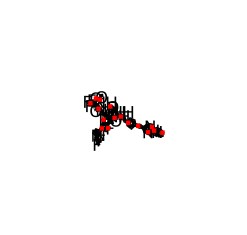 COC(=O)N[C@H](C(=O)NN(Cc1c(F)cc(-c2ccn(CC(F)F)n2)cc1F)C[C@@H](O)CNC(=O)[C@@H](NC(=O)OC)C(C)(C)C(F)(F)F)C(C)(C)CCc1ccc(C#Cc2cnc(N3CC4CCC(C3)N4C3COC3)nc2)cc1